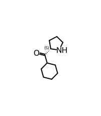 O=C(C1CCCCC1)[C@@H]1CCCN1